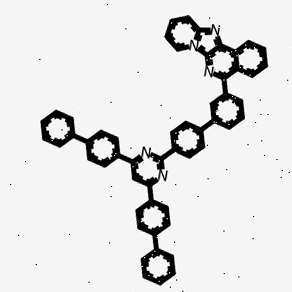 c1ccc(-c2ccc(-c3cc(-c4ccc(-c5ccccc5)cc4)nc(-c4ccc(-c5cccc(-c6nc7c(nc8ccccn87)c7ccccc67)c5)cc4)n3)cc2)cc1